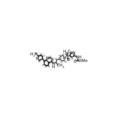 COC(=O)Nc1nc(C)c(S(=O)(=O)N2CCN(CC(C)Nc3ncnc4c(-c5ccc(N)nc5)cccc34)CC2)s1